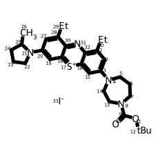 CCc1cc(N2CCCN(C(=O)OC(C)(C)C)CC2)cc2[s+]c3cc(N4CCCC4C)cc(CC)c3nc12.[I-]